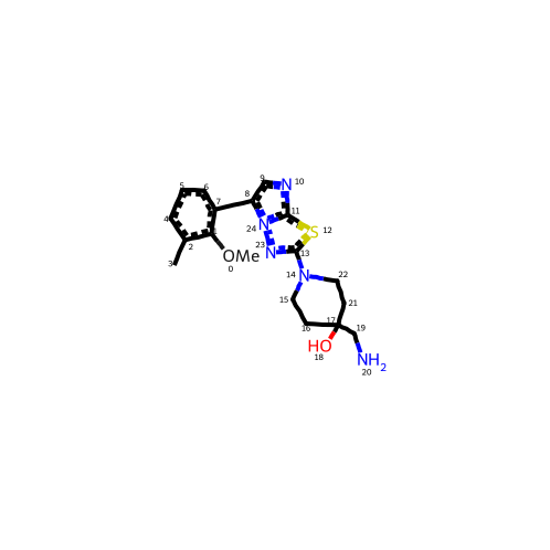 COc1c(C)cccc1-c1cnc2sc(N3CCC(O)(CN)CC3)nn12